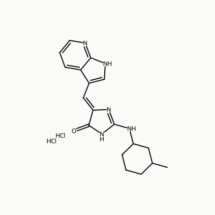 CC1CCCC(NC2=N/C(=C\c3c[nH]c4ncccc34)C(=O)N2)C1.Cl.Cl